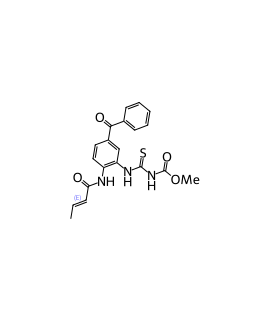 C/C=C/C(=O)Nc1ccc(C(=O)c2ccccc2)cc1NC(=S)NC(=O)OC